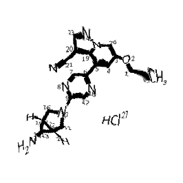 CCOc1cc(-c2cnc(N3C[C@@H]4C(N)[C@@H]4C3)cn2)c2c(C#N)cnn2c1.Cl